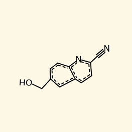 N#Cc1ccc2cc(CO)ccc2n1